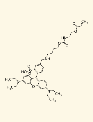 C=CC(=O)OCCNC(=O)OCCCCNCc1ccc(-c2c3ccc(=[N+](CC)CC)cc-3oc3cc(N(CC)CC)ccc23)c(S(=O)(=O)O)c1